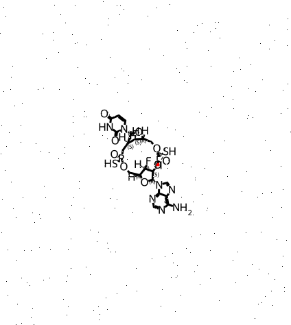 Nc1ncnc2c1ncn2[C@@H]1O[C@@H]2COP(=O)(S)C[C@@H]3[C@H](F)[C@@H](COP(=O)(S)O[C@@H]1[C@@H]2F)O[C@H]3n1ccc(=O)[nH]c1=O